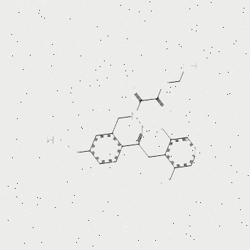 CCOC(=O)C(=O)N1Cc2cc(OC)ccc2C(Cc2c(Cl)cncc2Cl)=N1